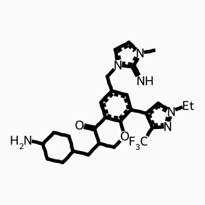 CCn1cc(-c2cc(Cn3ccn(C)c3=N)cc3c2OCC(CC2CCC(N)CC2)C3=O)c(C(F)(F)F)n1